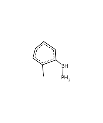 Cc1ccccc1BP